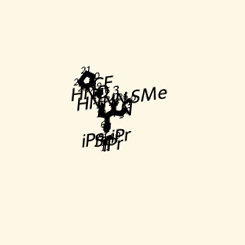 CSc1ncc2c(C#C[Si](C(C)C)(C(C)C)C(C)C)cc(NC(=O)NC3(C(F)(F)F)CCCC3)nc2n1